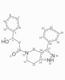 O=C(CC(O)c1ccccc1)N1CCc2[nH]nc(-c3ccccc3)c2C1